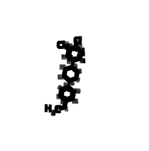 CCc1ccc([C@H]2CC[C@H](c3cnc(Cl)c(Cl)c3)CC2)cc1